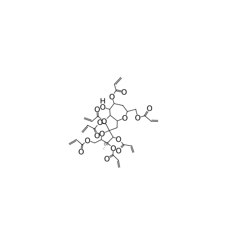 C=CC(=O)OCC1CC(OC(=O)C=C)C(O)C(OC(=O)C=C)C(CC2(COC(=O)C=C)OC(COC(=O)C=C)[C@](C)(OC(=O)C=C)C2OC(=O)C=C)O1